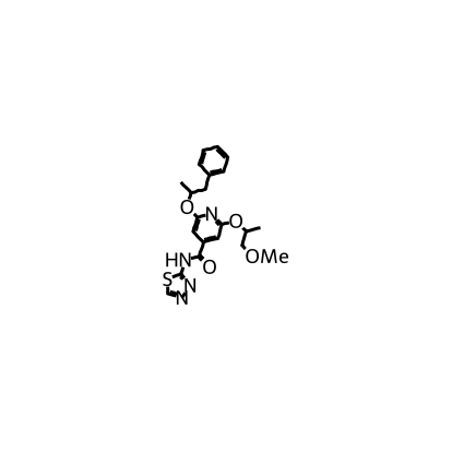 COCC(C)Oc1cc(C(=O)Nc2nncs2)cc(OC(C)Cc2ccccc2)n1